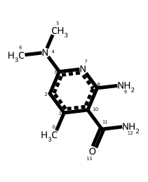 Cc1cc(N(C)C)nc(N)c1C(N)=O